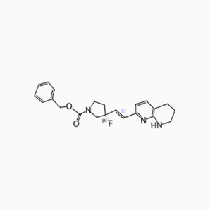 O=C(OCc1ccccc1)N1CC[C@@](F)(/C=C/c2ccc3c(n2)NCCC3)C1